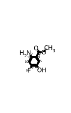 COC(=O)c1cc(O)c(F)cc1N